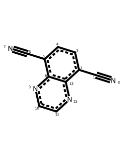 N#Cc1ccc(C#N)c2nccnc12